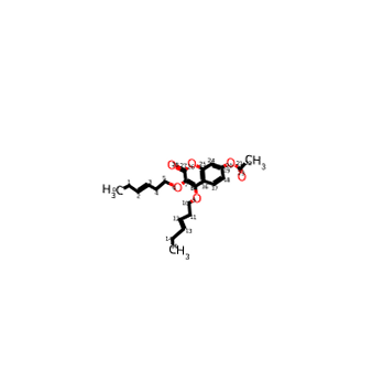 CCC=CCCOc1c(OCCC=CCC)c2ccc(OC(C)=O)cc2oc1=O